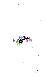 Cc1cc([C@@H]2C[C@H](c3cc(=O)[nH]o3)CCN2)ccc1C(F)(F)F